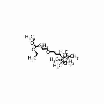 CCOC(OCC)[SiH2]CCOCCCN([Si](C)(C)C)[Si](C)(C)C